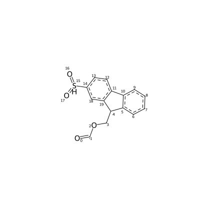 O=[C]OCC1c2ccccc2-c2ccc([SH](=O)=O)cc21